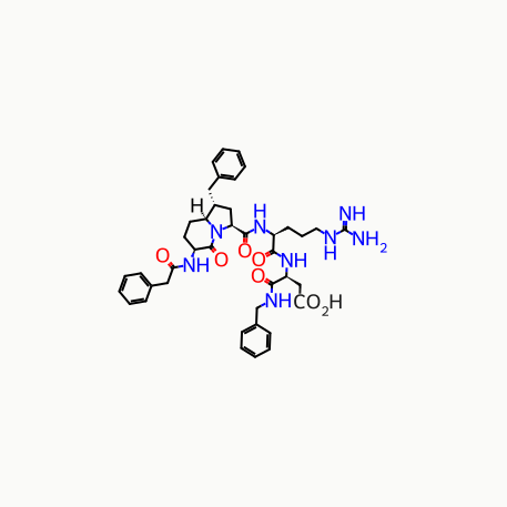 N=C(N)NCCC[C@H](NC(=O)[C@@H]1C[C@@H](Cc2ccccc2)[C@@H]2CC[C@H](NC(=O)Cc3ccccc3)C(=O)N12)C(=O)N[C@@H](CC(=O)O)C(=O)NCc1ccccc1